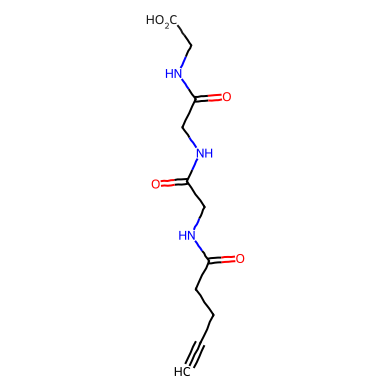 C#CCCC(=O)NCC(=O)NCC(=O)NCC(=O)O